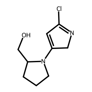 OCC1CCCN1C1=CC(Cl)=NC1